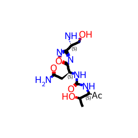 CC(=O)[C@@H](NC(=O)N[C@@H](CC(N)=O)c1nc([C@H](N)CO)no1)C(C)O